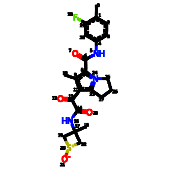 Cc1ccc(NC(=O)c2c(C)c(C(=O)C(=O)NC3(C)C[S+]([O-])C3)c3n2CCC3)cc1F